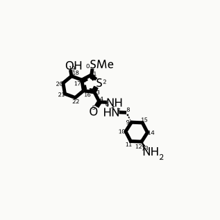 CSc1sc(C(=O)NNC[C@H]2CC[C@H](N)CC2)c2c1C(O)CCC2